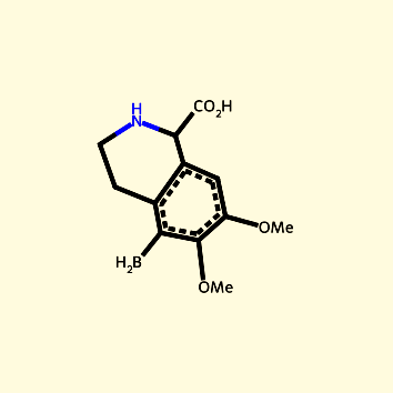 Bc1c2c(cc(OC)c1OC)C(C(=O)O)NCC2